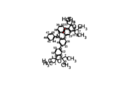 CCC1(CC)OC(CC)(CC)c2cc(-c3ccc(-c4ccc5c(c4)C(CC)(CC)OC5(CC)CC)c(N(c4ccccc4)c4ccccc4)c3)ccc21